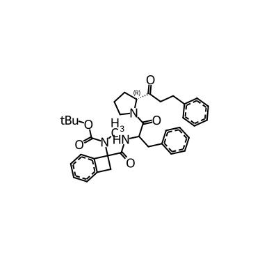 CN(C(=O)OC(C)(C)C)C1(C(=O)NC(Cc2ccccc2)C(=O)N2CCC[C@@H]2C(=O)CCc2ccccc2)Cc2ccccc21